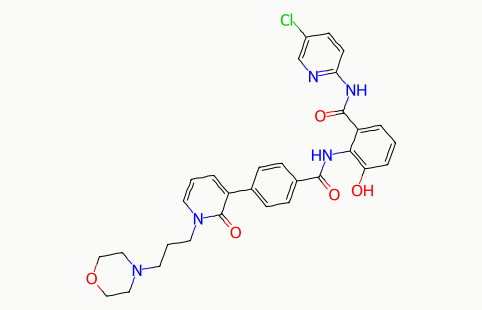 O=C(Nc1c(O)cccc1C(=O)Nc1ccc(Cl)cn1)c1ccc(-c2cccn(CCCN3CCOCC3)c2=O)cc1